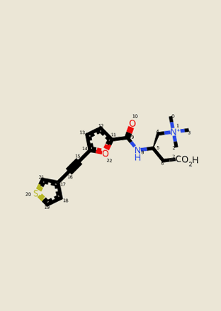 C[N+](C)(C)C[C@@H](CC(=O)O)NC(=O)c1ccc(C#Cc2ccsc2)o1